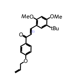 C=CCOc1ccc(C(=O)/C=C/c2cc(C(C)(C)C)c(OC)cc2OC)cc1